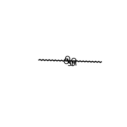 CCCCCCCCCCCCCCCCCCOC(=O)CC(S)C(=O)OCCCCCCCCCCCCCCCCCC